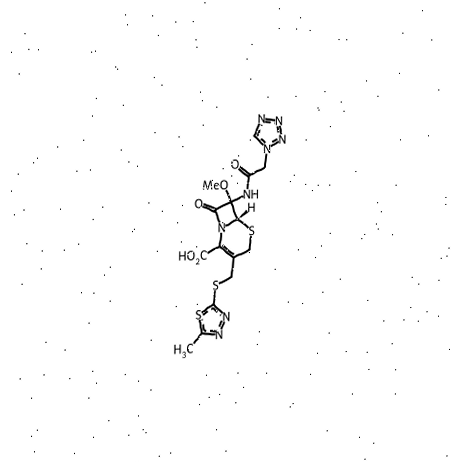 COC1(NC(=O)Cn2cnnn2)C(=O)N2C(C(=O)O)=C(CSc3nnc(C)s3)CS[C@H]21